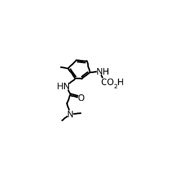 Cc1ccc(NC(=O)O)cc1NC(=O)CN(C)C